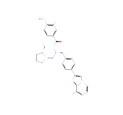 Cc1cccn2cc(-c3ccc(C[C@@H](CN4CCC[C@H]4CO)NC(=O)c4ccc(OC(C)C)c(Cl)c4)cc3)nc12